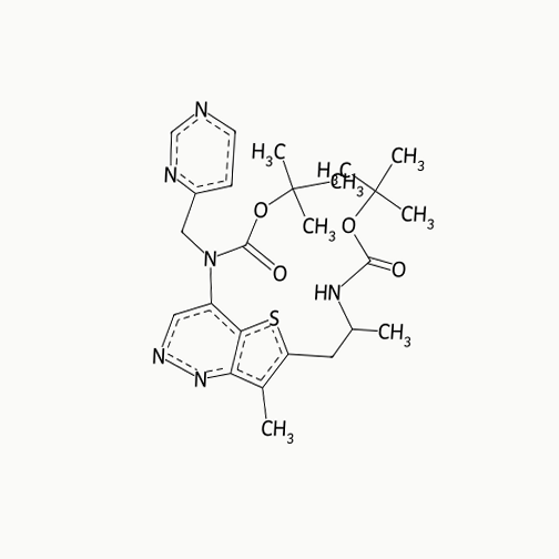 Cc1c(CC(C)NC(=O)OC(C)(C)C)sc2c(N(Cc3ccncn3)C(=O)OC(C)(C)C)cnnc12